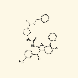 Cc1cccc(C(=O)c2c(NC(=O)NC3CCN(C(=O)OCc4ccccc4)C3)sc3c2ccc(=O)n3-c2ccccc2)c1